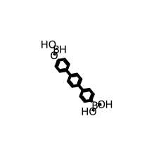 OBOc1ccc(-c2ccc(-c3ccc(B(O)O)cc3)cc2)cc1